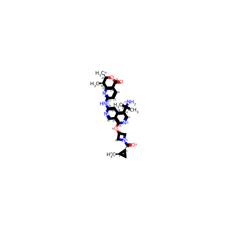 C[C@@H]1C[C@H]1C(=O)N1CC(Oc2ncc(C(C)(C)N)c3cc(Nc4ccc5c(n4)[C@@H](C)[C@H](C)OC5=O)ncc23)C1